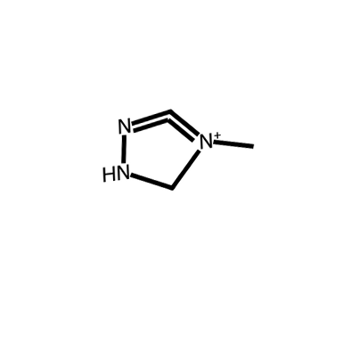 C[N+]1=C=NNC1